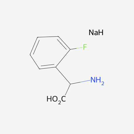 NC(C(=O)O)c1ccccc1F.[NaH]